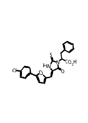 O=C(O)C(Cc1ccccc1)N1C(=O)C(=Cc2ccc(-c3ccc(Cl)cc3)o2)NC1=S